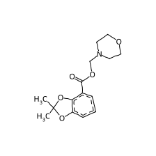 CC1(C)Oc2cccc(C(=O)OCN3CCOCC3)c2O1